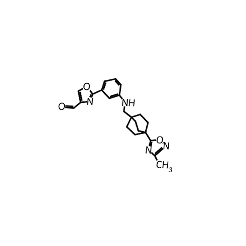 Cc1noc(C23CCC(CNc4cccc(-c5nc(C=O)co5)c4)(CC2)CC3)n1